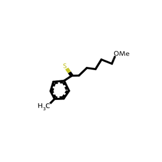 COCCCCCC(=S)c1ccc(C)cc1